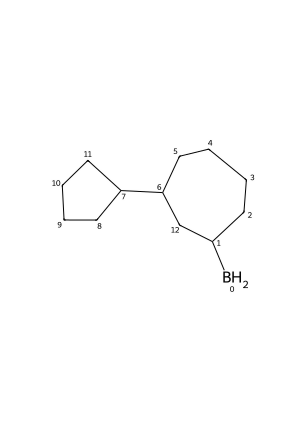 BC1CCCCC(C2CCCC2)C1